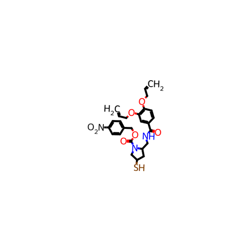 C=CCOc1ccc(C(=O)NCC2CC(S)CN2C(=O)OCc2ccc([N+](=O)[O-])cc2)cc1OCC=C